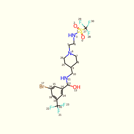 O=S(=O)(NCCN1CCC(CNC(O)c2cc(Br)cc(C(F)(F)F)c2)CC1)C(F)(F)F